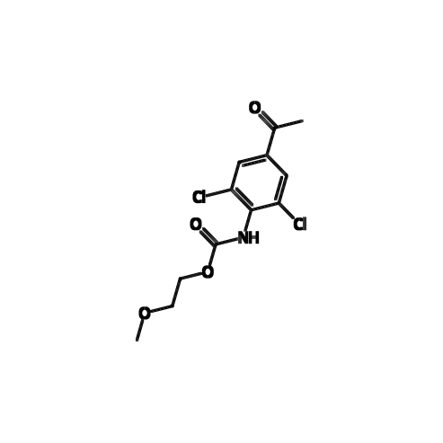 COCCOC(=O)Nc1c(Cl)cc(C(C)=O)cc1Cl